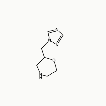 c1ncn(CC2CNCCO2)n1